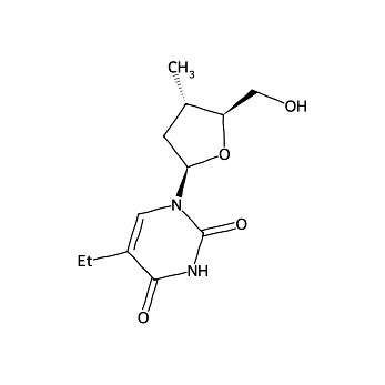 CCc1cn([C@H]2C[C@H](C)[C@@H](CO)O2)c(=O)[nH]c1=O